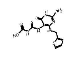 Nc1nc(NCc2cccs2)c(NC(=S)NC(=O)O)c(=O)[nH]1